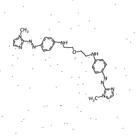 Cn1ccnc1N=Nc1ccc(NCCOCCNc2ccc(N=Nc3nccn3C)cc2)cc1